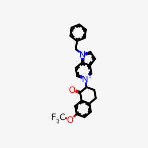 O=C1c2cc(OC(F)(F)F)ccc2CCC1[n+]1ccc2c(ccn2Cc2ccccc2)c1